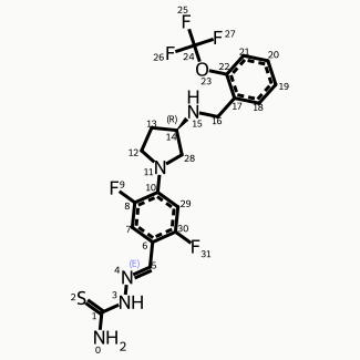 NC(=S)N/N=C/c1cc(F)c(N2CC[C@@H](NCc3ccccc3OC(F)(F)F)C2)cc1F